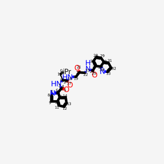 CC(C)C[C@H](NC(=O)c1nccc2ccccc12)C(=O)NCC(=O)CNC(=O)c1cccc2cccnc12